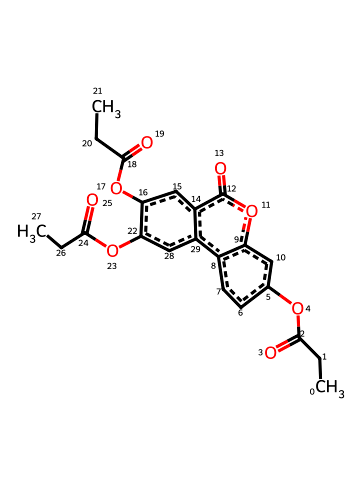 CCC(=O)Oc1ccc2c(c1)oc(=O)c1cc(OC(=O)CC)c(OC(=O)CC)cc12